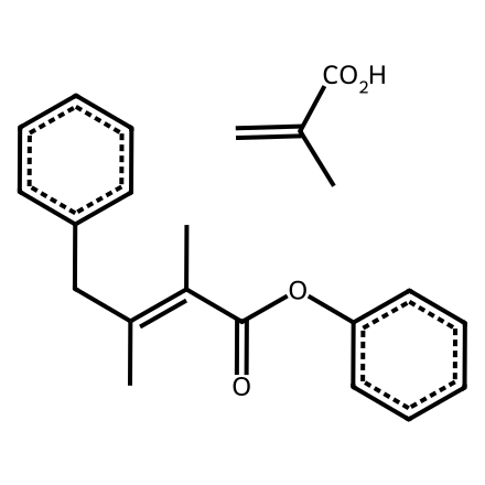 C=C(C)C(=O)O.CC(Cc1ccccc1)=C(C)C(=O)Oc1ccccc1